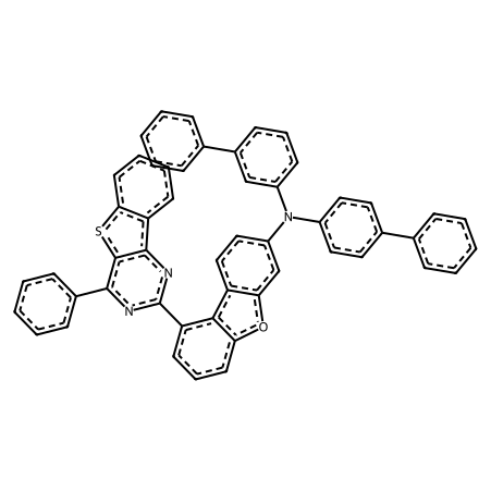 c1ccc(-c2ccc(N(c3cccc(-c4ccccc4)c3)c3ccc4c(c3)oc3cccc(-c5nc(-c6ccccc6)c6sc7ccccc7c6n5)c34)cc2)cc1